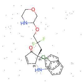 O=C1C=C[C@@H](Nc2ccccc2Cl)[C@@]1(CC(F)(F)COC1COCCN1)c1ccccc1